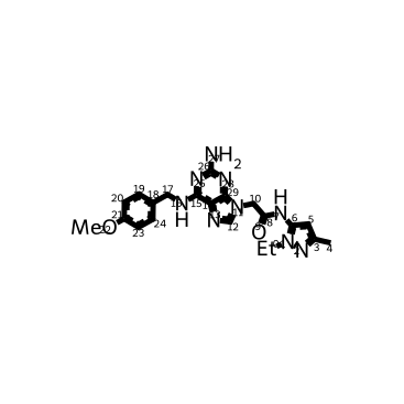 CCn1nc(C)cc1NC(=O)Cn1cnc2c(NCc3ccc(OC)cc3)nc(N)nc21